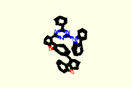 c1ccc(-c2nc(-c3cccc4oc5cc(-c6cccc7oc8ccccc8c67)ccc5c34)nc(-n3c4ccccc4c4ccccc43)n2)cc1